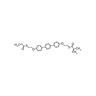 C=CC(=O)SCCOc1ccc(-c2ccc(-c3ccc(OCCSC(=O)C(=C)C)cc3)cc2)cc1